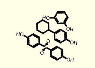 O=S(=O)(c1ccc(O)cc1)c1ccc(O)cc1.Oc1ccc(C2CCCCC2)cc1.Oc1cccc(O)c1